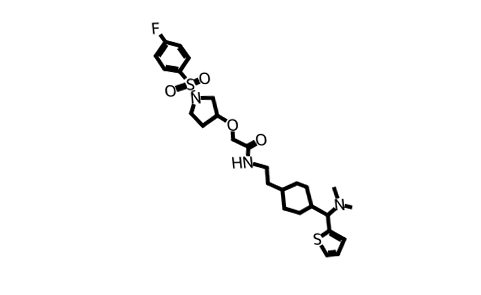 CN(C)C(c1cccs1)C1CCC(CCNC(=O)COC2CCN(S(=O)(=O)c3ccc(F)cc3)C2)CC1